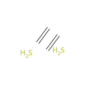 C=C.C=C.S.S